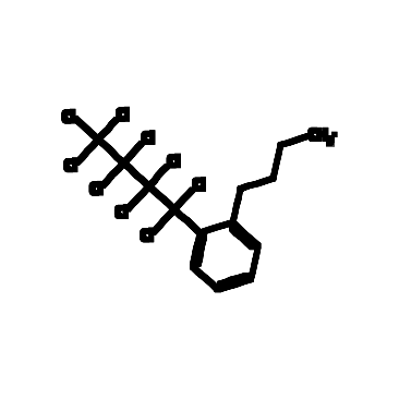 [CH2]CCCc1ccccc1C(Cl)(Cl)C(Cl)(Cl)C(Cl)(Cl)C(Cl)(Cl)Cl